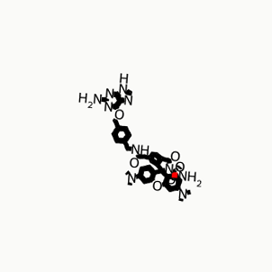 CN(C)c1ccc2c(c1)Oc1cc(N(C)C)ccc1C21c2cc(C(=O)NCc3ccc(COc4nc(N)nc5[nH]cnc45)cc3)ccc2C(=O)N1S(N)(=O)=O